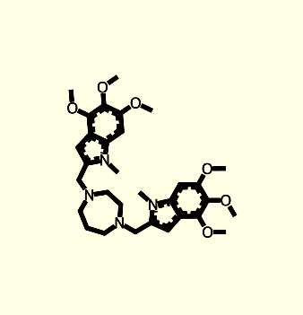 COc1cc2c(cc(CN3CCCN(Cc4cc5c(OC)c(OC)c(OC)cc5n4C)CC3)n2C)c(OC)c1OC